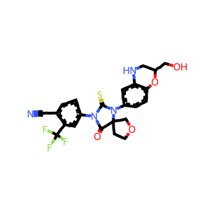 N#Cc1ccc(N2C(=O)C3(CCOC3)N(c3ccc4c(c3)NCC(CO)O4)C2=S)cc1C(F)(F)F